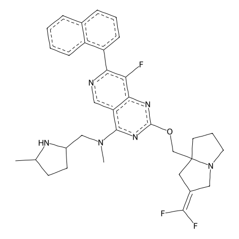 CC1CCC(CN(C)c2nc(OCC34CCCN3CC(=C(F)F)C4)nc3c(F)c(-c4cccc5ccccc45)ncc23)N1